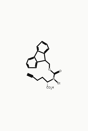 C#CCC[C@@H](C(=O)O)N(CC)C(=O)OCC1c2ccccc2-c2ccccc21